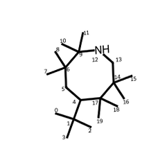 CC(C)(C)C1CC(C)(C)C(C)(C)NCC(C)(C)C1(C)C